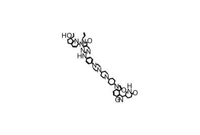 C=CCn1c(=O)c2cnc(Nc3ccc(N4CCN(C5CCN([C@H]6CC[C@H](n7ccc8c9c(C%10CCC(=O)NC%10=O)noc9ccc87)CC6)CC5)CC4)cc3)nc2n1-c1ccc2c(n1)[C@@](O)(CC)CC2